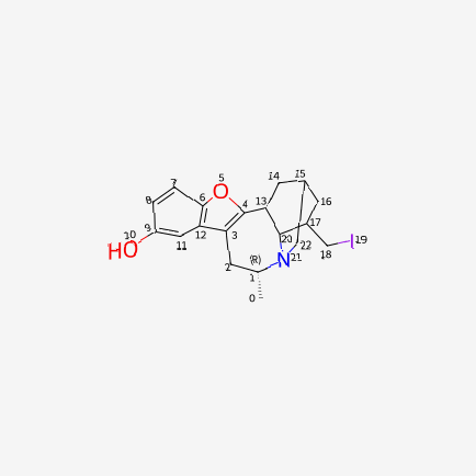 C[C@@H]1Cc2c(oc3ccc(O)cc23)C2CC3CC(CI)C2N1C3